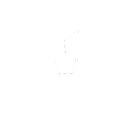 OCC1=CC(F)(F)C=N1